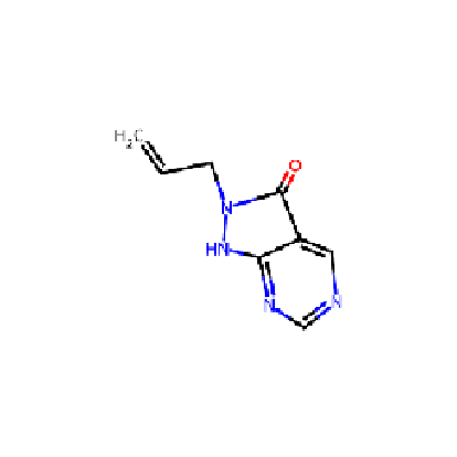 C=CCn1[nH]c2ncncc2c1=O